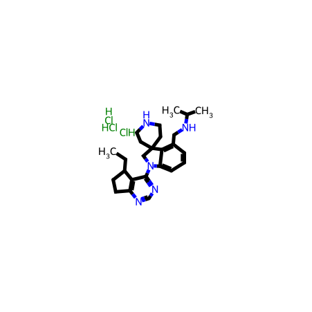 CCC1CCc2ncnc(N3CC4(CCNCC4)c4c(CNC(C)C)cccc43)c21.Cl.Cl.Cl